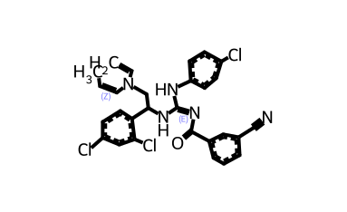 C=CN(/C=C\C)CC(N/C(=N\C(=O)c1cccc(C#N)c1)Nc1ccc(Cl)cc1)c1ccc(Cl)cc1Cl